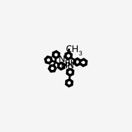 Cc1cc(-c2cc3ccccc3cc2Nc2ccc(-c3ccccc3)cc2)c2c(c1)N1c3ccccc3C(c3ccccc3)(c3ccccc3)c3cccc(c31)B2